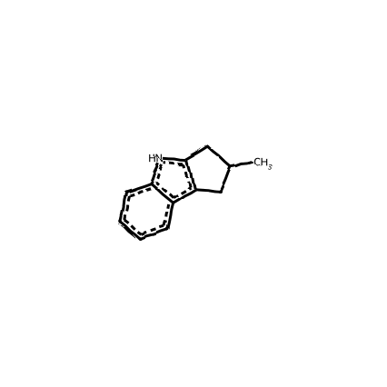 CC1Cc2[nH]c3ccccc3c2C1